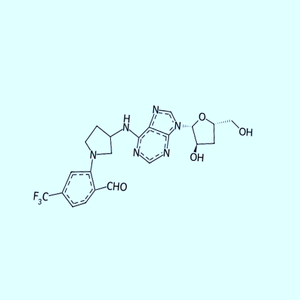 O=Cc1ccc(C(F)(F)F)cc1N1CCC(Nc2ncnc3c2ncn3[C@@H]2O[C@H](CO)C[C@H]2O)C1